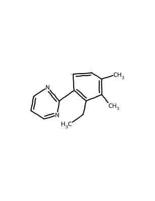 CCc1c(-c2ncccn2)[c]cc(C)c1C